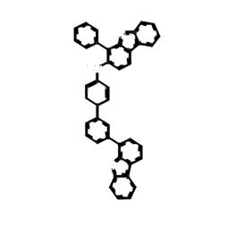 C1=CC(c2cccc(-c3cccc4c3oc3ccccc34)c2)CC=C1Nc1ccc2c(sc3ccccc32)c1-c1ccccc1